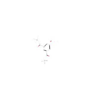 CC(C)(C)OC(=O)c1cc(C(=O)OC(C)(C)C)cc(S(=O)(=O)O)c1